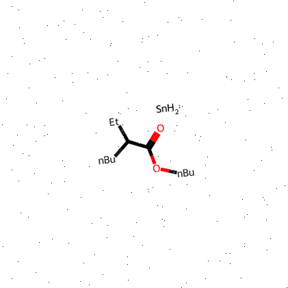 CCCCOC(=O)C(CC)CCCC.[SnH2]